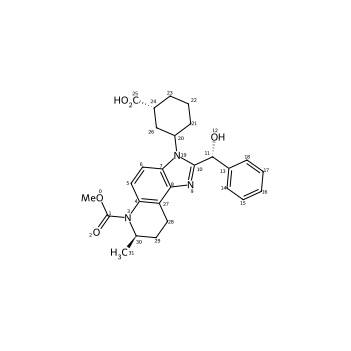 COC(=O)N1c2ccc3c(nc([C@H](O)c4ccccc4)n3C3CCC[C@@H](C(=O)O)C3)c2CC[C@H]1C